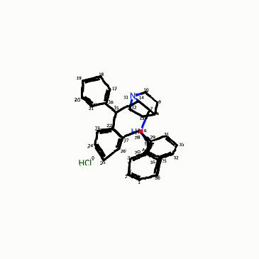 Cl.c1ccc(CNC2C3CCN(CC3)C2C(c2ccccc2)c2ccccc2Cc2ccccc2)cc1